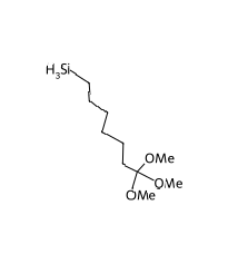 COC(CCCCCC[SiH3])(OC)OC